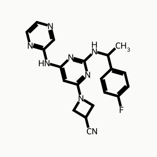 CC(Nc1nc(Nc2cnccn2)cc(N2CC(C#N)C2)n1)c1ccc(F)cc1